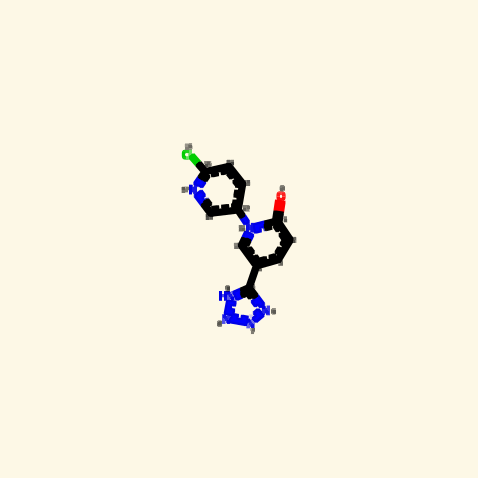 O=c1ccc(-c2nnn[nH]2)cn1-c1ccc(Cl)nc1